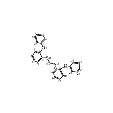 c1ccc(Oc2ccccc2SSSc2ccccc2Oc2ccccc2)cc1